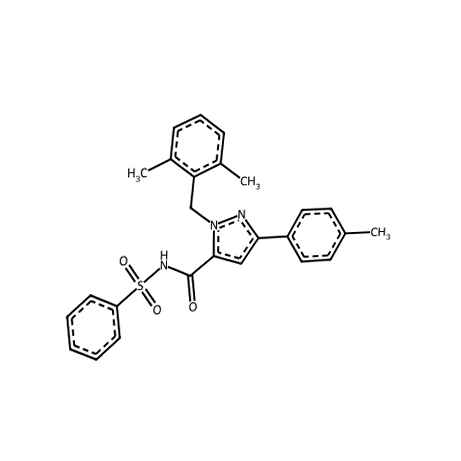 Cc1ccc(-c2cc(C(=O)NS(=O)(=O)c3ccccc3)n(Cc3c(C)cccc3C)n2)cc1